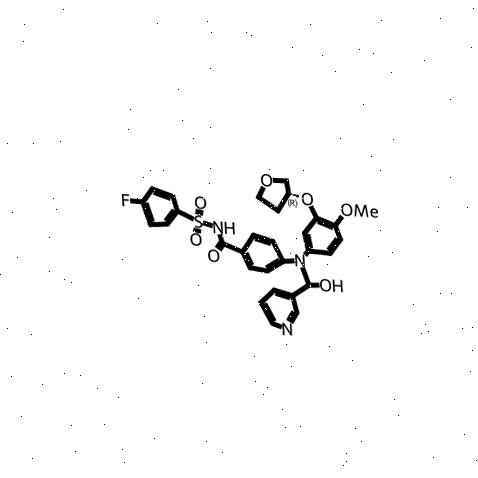 COc1ccc(N(c2ccc(C(=O)NS(=O)(=O)c3ccc(F)cc3)cc2)C(O)c2cccnc2)cc1O[C@@H]1CCOC1